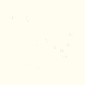 CCOC1N=C(Oc2ccc3[nH]c(C)cc3c2)c2cc(OC)ccc2N1N(C)C